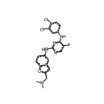 CN(C)Cc1cc2cc(Nc3ncc(F)c(Nc4ccc(Cl)c(Cl)c4)n3)ccc2o1